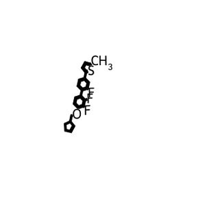 Cc1ccc(-c2ccc(-c3ccc(OCC4C=CCC4)c(F)c3F)c(F)c2)s1